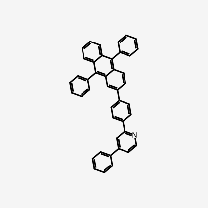 c1ccc(-c2ccnc(-c3ccc(-c4ccc5c(-c6ccccc6)c6ccccc6c(-c6ccccc6)c5c4)cc3)c2)cc1